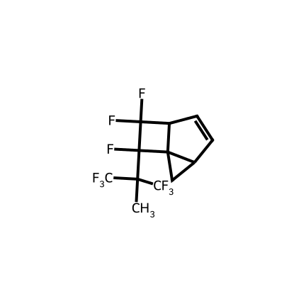 CC(C(F)(F)F)(C(F)(F)F)C1(F)C(F)(F)C2C=CC3CC321